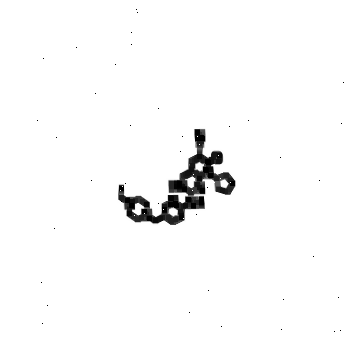 CCN1CCN(Cc2ccc(NC3N=c4c(cc(C#N)c(=O)n4C4CCCC4)=CN3)nc2)CC1